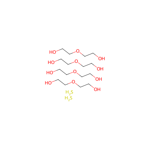 OCCOCCO.OCCOCCO.OCCOCCO.OCCOCCO.S.S